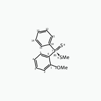 COc1ccccc1[P@](=S)(SC)c1ccccc1